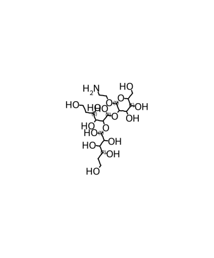 NCCO[C@H]1OC(CO)[C@@H](O)C(O)C1O[C@@H](O)C(O[C@H](O)C(O)C(O)[C@H](O)CCO)C(O)[C@H](O)CCO